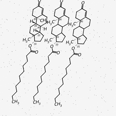 CCCCCCCCCCC(=O)O[C@H]1CCC2C3CCC4=CC(=O)CC[C@]4(C)C3CC[C@@]21C.CCCCCCCCCCC(=O)O[C@H]1CCC2C3CCC4=CC(=O)CC[C@]4(C)C3CC[C@@]21C.CCCCCCCCCCC(=O)O[C@H]1CC[C@H]2[C@@H]3CCC4=CC(=O)CC[C@]4(C)[C@H]3CC[C@]12C